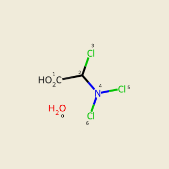 O.O=C(O)C(Cl)N(Cl)Cl